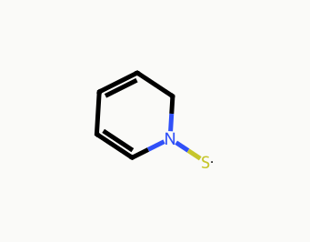 [S]N1C=CC=CC1